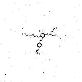 C/C=C/c1ccc(/C=C/c2cc(OCC(CC)CCCC)c(C)cc2CC/C=N/CCCS)cc1